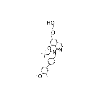 COc1ccc(-c2ccc(CN(C(=O)CC(C)(C)C)c3nccc4cc(COCCO)ccc34)cc2)cc1C